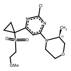 COCCS(=O)(=O)C1(c2cc(N3CCOC[C@@H]3C)nc(Cl)n2)CC1